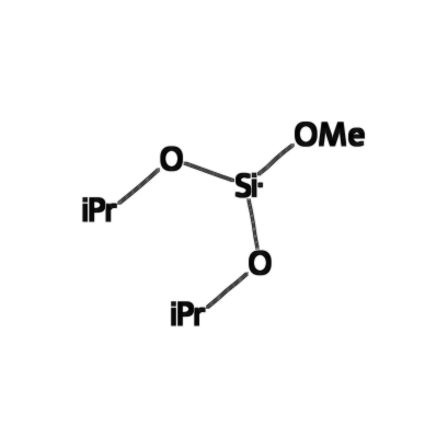 CO[Si](OC(C)C)OC(C)C